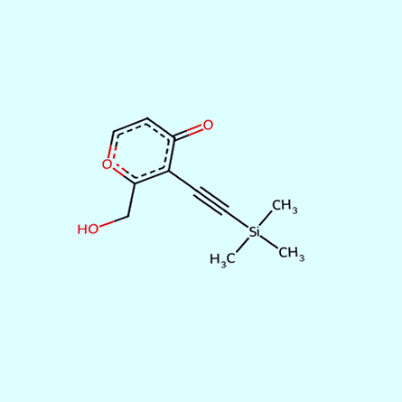 C[Si](C)(C)C#Cc1c(CO)occc1=O